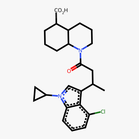 CC(CC(=O)N1CCCC2C(C(=O)O)CCCC21)c1cn(C2CC2)c2cccc(Cl)c12